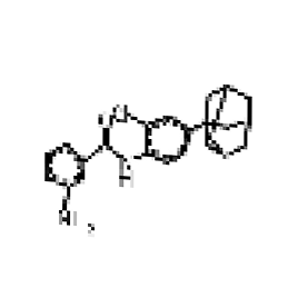 Nc1cccc(C(=O)Nc2ccc(C34CC5CC(CC(C5)C3)C4)cc2Cl)c1